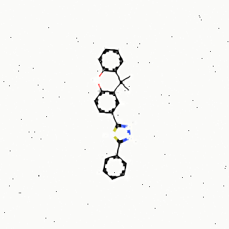 CC1(C)c2ccccc2Oc2ccc(-c3nnc(-c4ccccc4)s3)cc21